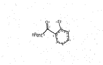 C[CH]c1ccccc1C(=O)CCCCC